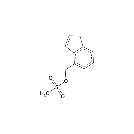 CS(=O)(=O)OCc1cccc2c1C=CC2